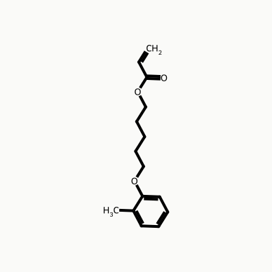 C=CC(=O)OCCCCCOc1ccccc1C